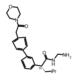 CC(C)C[C@@H](C(=O)NCN)c1cccc(-c2ccc(CC(=O)N3CCOCC3)cc2)c1